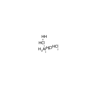 Cl.Cl.Cl.[AlH3].[HH]